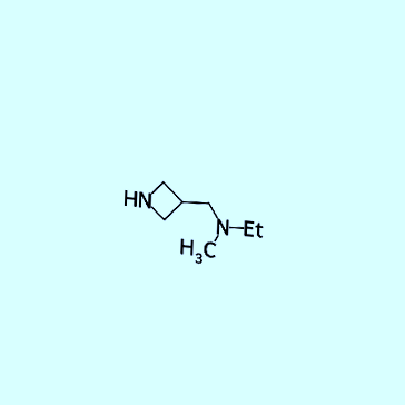 CCN(C)CC1CNC1